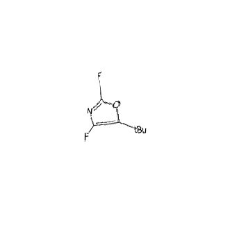 CC(C)(C)c1oc(F)nc1F